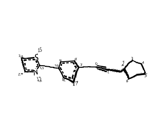 C(#CC1CCCC1)c1ccc(-c2nccs2)cc1